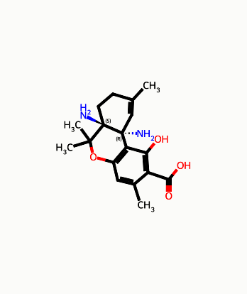 CC1=C[C@@]2(N)c3c(cc(C)c(C(=O)O)c3O)OC(C)(C)[C@]2(N)CC1